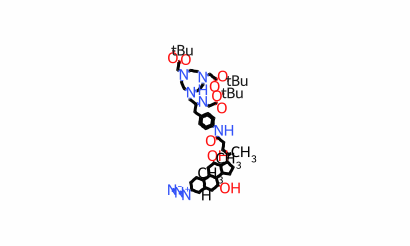 CC(CCC(=O)Nc1ccc(CC(CN2CCN(CC(=O)OC(C)(C)C)CCN(CC(=O)OC(C)(C)C)CC2)NCC(=O)OC(C)(C)C)cc1)[C@H]1CCC2C3C(C[C@H](O)[C@@]21C)[C@@]1(C)CC[C@@H](N=[N+]=[N-])C[C@H]1C[C@H]3O